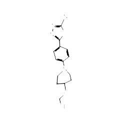 CCOC1CCN(c2ccc(-c3nnc(N)s3)cc2)CC1